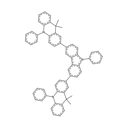 CC1(C)c2ccccc2N(c2ccccc2)c2ccc(-c3ccc4c(c3)c3cc(-c5ccc6c(c5)C(C)(C)c5ccccc5N6c5ccccc5)ccc3n4-c3ccccc3)cc21